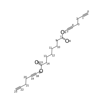 C#CCCC#COC(=O)CCCCCCC(=O)OC#CCCC#C